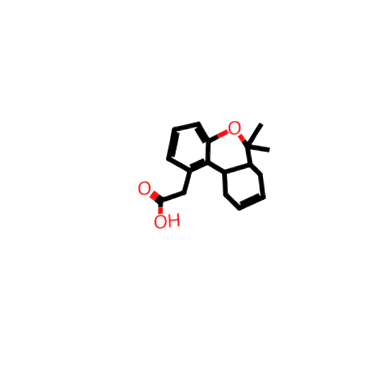 CC1(C)Oc2cccc(CC(=O)O)c2C2CC=CCC21